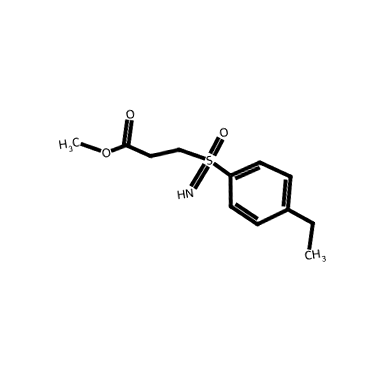 CCc1ccc(S(=N)(=O)CCC(=O)OC)cc1